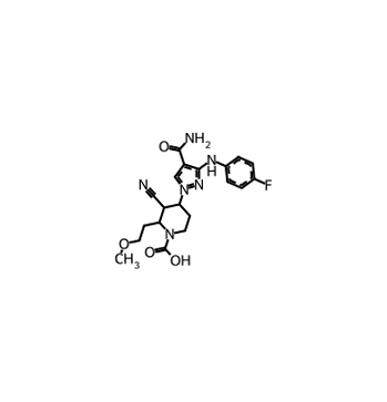 COCCC1C(C#N)C(n2cc(C(N)=O)c(Nc3ccc(F)cc3)n2)CCN1C(=O)O